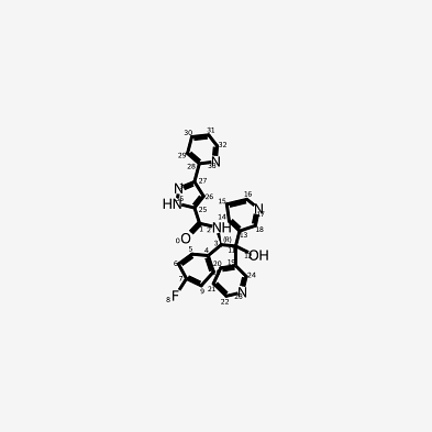 O=C(N[C@H](c1ccc(F)cc1)C(O)(c1cccnc1)c1cccnc1)c1cc(-c2ccccn2)n[nH]1